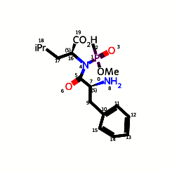 COP(C)(=O)N(C(=O)[C@@H](N)Cc1ccccc1)[C@@H](CC(C)C)C(=O)O